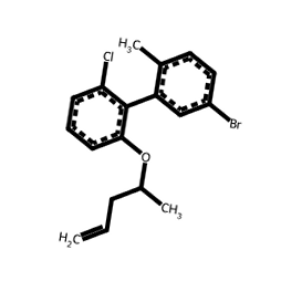 C=CCC(C)Oc1cccc(Cl)c1-c1cc(Br)ccc1C